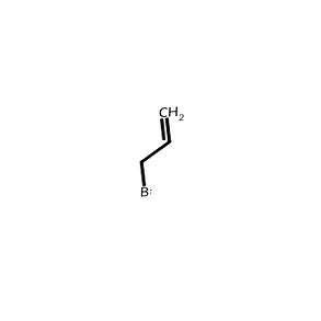 [B]CC=C